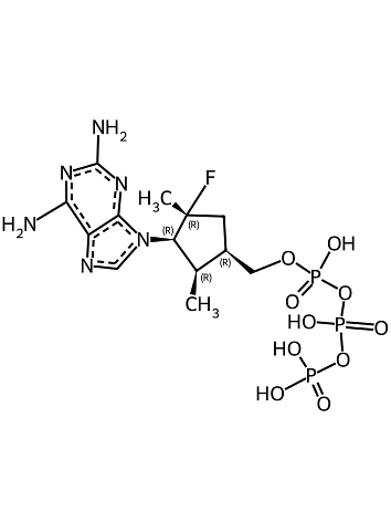 C[C@@H]1[C@H](COP(=O)(O)OP(=O)(O)OP(=O)(O)O)C[C@@](C)(F)[C@@H]1n1cnc2c(N)nc(N)nc21